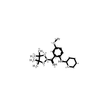 CC(C)Oc1ccc(NC2CCCCO2)c(C(=N)B2OC(C)(C)C(C)(C)O2)c1